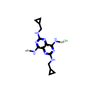 CCCNc1nc(NCC2CC2)nc2c(NCCC)nc(NCC3CC3)nc12.Cl